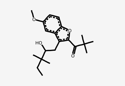 CCC(C)(C)C(O)Cc1c(C(=O)C(C)(C)C)oc2ccc(OC)cc12